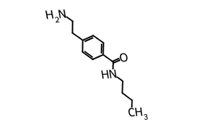 CCCCNC(=O)c1ccc(CCN)cc1